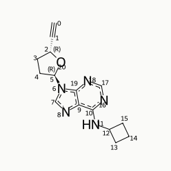 C#C[C@H]1CC[C@H](n2cnc3c(NC4CCC4)ncnc32)O1